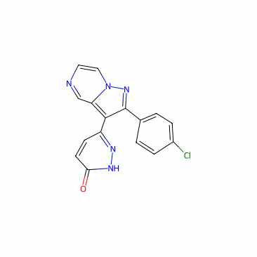 O=c1ccc(-c2c(-c3ccc(Cl)cc3)nn3ccncc23)n[nH]1